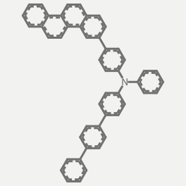 c1ccc(-c2ccc(-c3ccc(N(c4ccccc4)c4ccc(-c5ccc6ccc7c8ccccc8ccc7c6c5)cc4)cc3)cc2)cc1